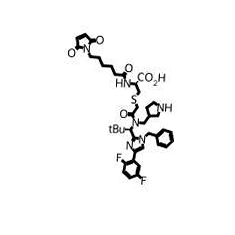 CC(C)(C)[C@H](c1nc(-c2cc(F)ccc2F)cn1Cc1ccccc1)N(CC1CCNC1)C(=O)CSC[C@H](NC(=O)CCCCCN1C(=O)C=CC1=O)C(=O)O